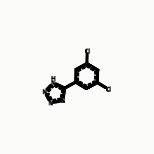 Clc1[c]c(Cl)cc(-c2nnn[nH]2)c1